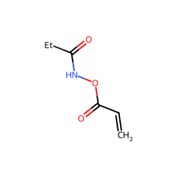 C=CC(=O)ONC(=O)CC